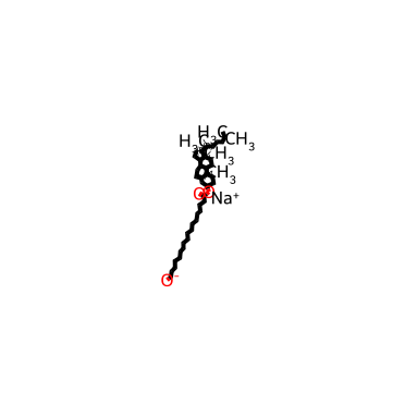 CC(C)CCC[C@@H](C)[C@H]1CCC2C3CC=C4CC(OC(=O)CCCCCCCCCCCCCCCCC[O-])CC[C@]4(C)C3CC[C@@]21C.[Na+]